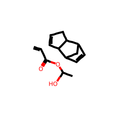 C1=CC2C3C=CC(C3)C2C1.C=CC(=O)OC(C)O